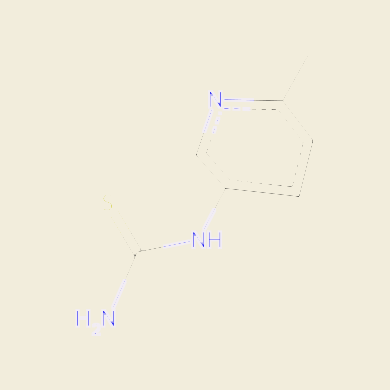 Cc1ccc(NC(N)=S)cn1